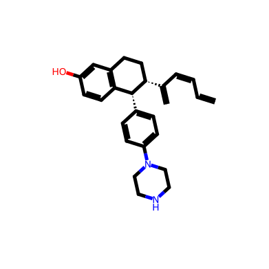 C=C/C=C\C(=C)[C@H]1CCc2cc(O)ccc2[C@H]1c1ccc(N2CCNCC2)cc1